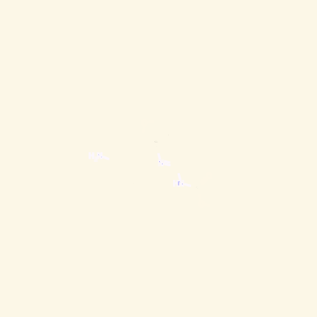 CC1OC[C@]2(c3cc(N)ccc3F)N=C(NC(=O)OC(C)(C)C)SC[C@H]12